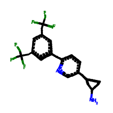 NC1CC1c1ccc(-c2cc(C(F)(F)F)cc(C(F)(F)F)c2)nc1